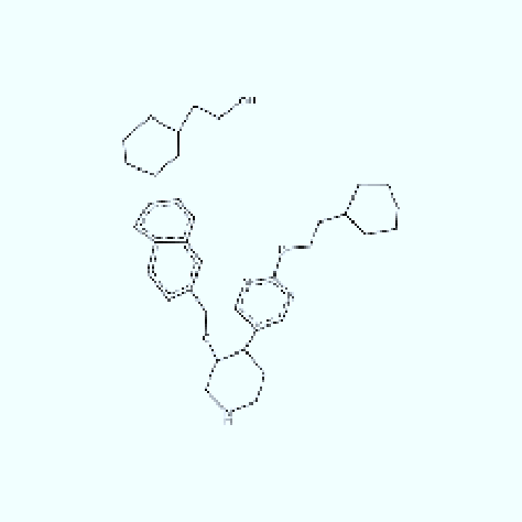 OCCC1CCCCC1.c1ccc2cc(COC3CNCCC3c3cnc(OCCC4CCCCC4)nc3)ccc2c1